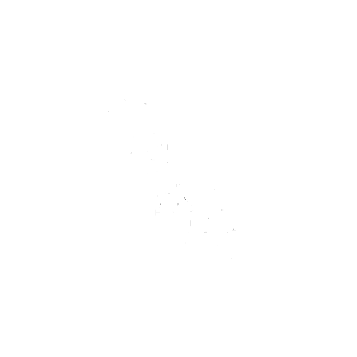 C[C@H](N[C@@H](C)[C@H]1CC[C@H]2[C@@H]3CC[C@@H]4C[C@](C)(O)CC[C@@H]4[C@H]3CC[C@]12C)c1ccccc1